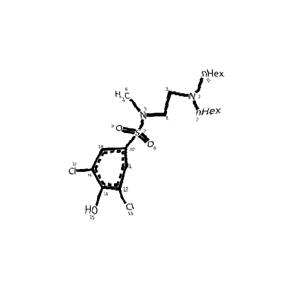 CCCCCCN(CCCCCC)CCN(C)S(=O)(=O)c1cc(Cl)c(O)c(Cl)c1